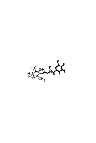 CC(C)[Si](O)(CCCN(F)C(=O)c1cc(F)c(F)c(F)c1F)C(C)C